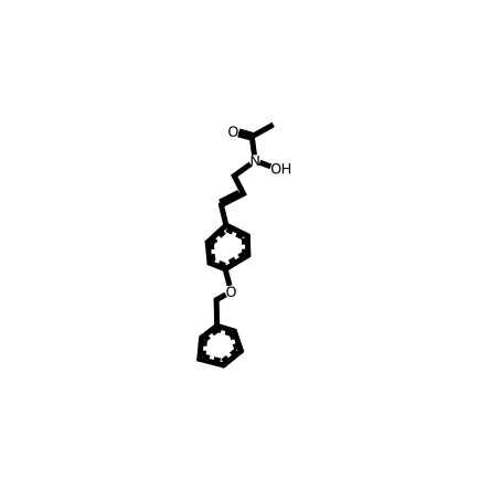 CC(=O)N(O)CC=Cc1ccc(OCc2ccccc2)cc1